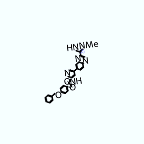 CN/C=C(\C=N)c1cnc2ccc(-c3cncc(NS(=O)(=O)c4ccc(OCc5ccccc5)cc4)c3)cc2n1